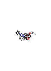 COc1cccc(C2(O)C(C)(C)C(N3CCN(c4ccccc4)CC3)C2(C)C)c1